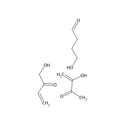 C=C(O)C(C)=O.C=CC(=O)CO.O=CCCCO